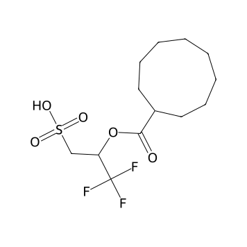 O=C(OC(CS(=O)(=O)O)C(F)(F)F)C1CCCCCCCC1